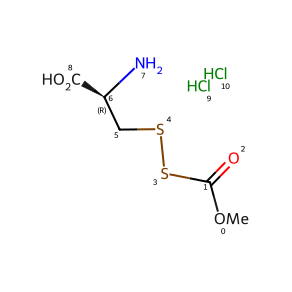 COC(=O)SSC[C@H](N)C(=O)O.Cl.Cl